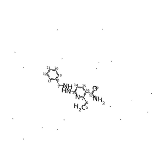 C=Cc1nc(NNCc2ccccc2)ccc1C(N)=O